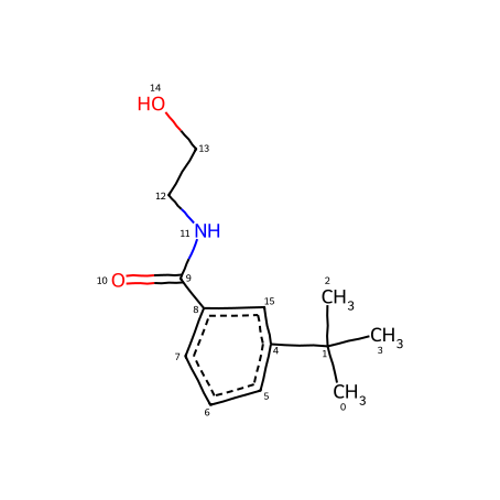 CC(C)(C)c1cccc(C(=O)NCCO)c1